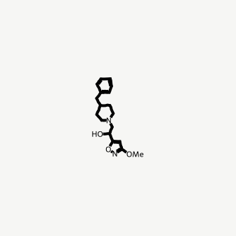 COc1cc(C(O)CN2CCC(Cc3ccccc3)CC2)on1